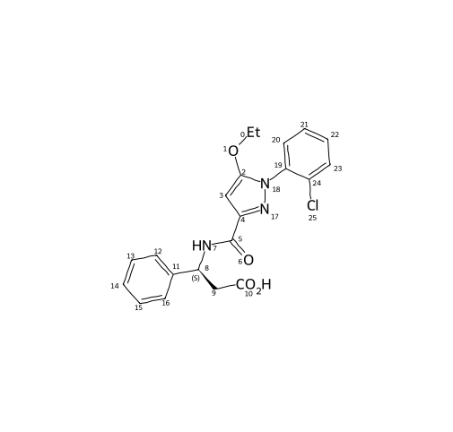 CCOc1cc(C(=O)N[C@@H](CC(=O)O)c2ccccc2)nn1-c1ccccc1Cl